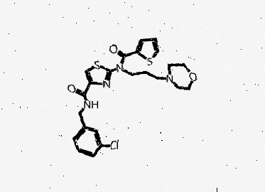 O=C(NCc1cccc(Cl)c1)c1csc(N(CCCN2CCOCC2)C(=O)c2cccs2)n1